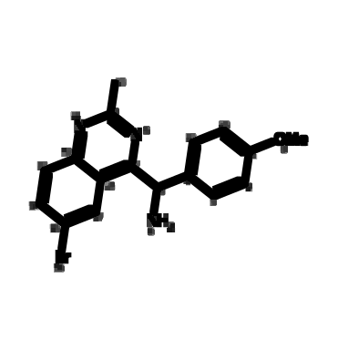 COc1ccc(C(N)c2nc(C)nc3ccc(Br)cc23)cc1